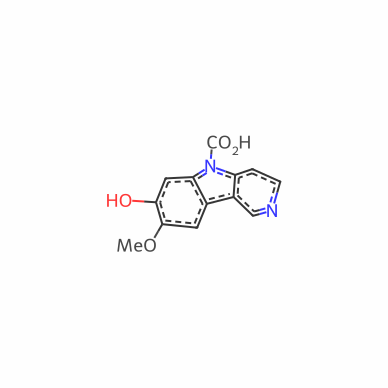 COc1cc2c3cnccc3n(C(=O)O)c2cc1O